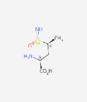 C[C@@H](C[C@H](N)C(=O)O)[SH](=N)=O